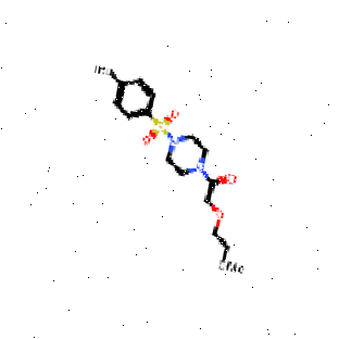 COCCOCC(=O)N1CCN(S(=O)(=O)c2ccc(C(C)(C)C)cc2)CC1